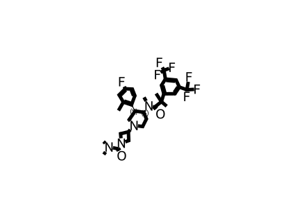 Cc1cc(F)ccc1[C@H]1CN(C2CN(C(=O)N(C)C)C2)CC[C@@H]1N(C)C(=O)C(C)(C)c1cc(C(F)(F)F)cc(C(F)(F)F)c1